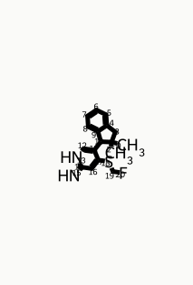 CC1(C)Cc2ccccc2C1c1c[nH]c(=N)cc1SCF